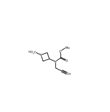 C#CCN(C(=O)OC(C)(C)C)C1CN(C(=O)O)C1